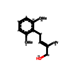 CCC/C(=C\Cc1c(OC)cccc1OC)CO